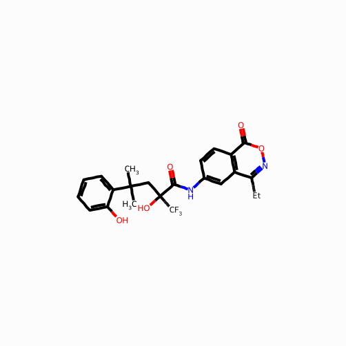 CCc1noc(=O)c2ccc(NC(=O)C(O)(CC(C)(C)c3ccccc3O)C(F)(F)F)cc12